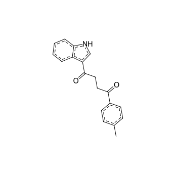 Cc1ccc(C(=O)CCC(=O)c2c[nH]c3ccccc23)cc1